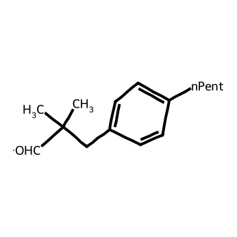 CCCCCc1ccc(CC(C)(C)[C]=O)cc1